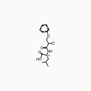 CC(C)C[C@H](NC(=O)C(Cl)COc1ccccc1)C(=O)O